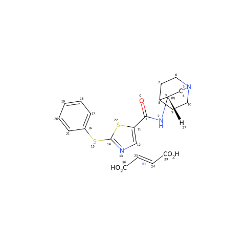 O=C(N[C@H]1CN2CCC1CC2)c1cnc(Sc2ccccc2)s1.O=C(O)/C=C/C(=O)O